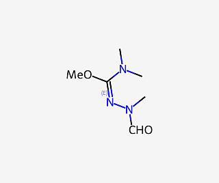 CO/C(=N/N(C)C=O)N(C)C